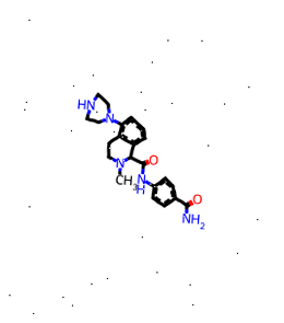 CN1CCc2c(cccc2N2CCNCC2)C1C(=O)Nc1ccc(C(N)=O)cc1